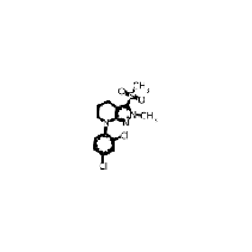 Cn1nc2c(c1S(C)(=O)=O)CCCN2c1ccc(Cl)cc1Cl